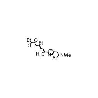 CCC(=O)C(=O)C/C(=C/C=C(\C)c1ccc(C[C@H](NC)C(C)=O)cn1)CC